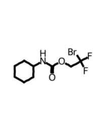 O=C(NC1CCCCC1)OCC(F)(F)Br